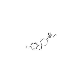 CC[SiH2][C@H]1CC[C@](CC)(c2ccc(F)cc2)CC1